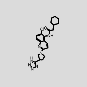 O=C(CC1CCCCC1)Nc1c(Cl)ccc2nc(N3CCC(c4nnn[nH]4)C3)ccc12